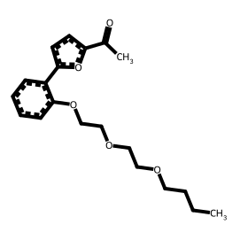 CCCCOCCOCCOc1ccccc1-c1ccc(C(C)=O)o1